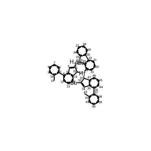 CCCCC1=Cc2c(-c3ccccc3C)cccc2[CH]1[Hf]([c]1cccc2c1[SiH2]c1ccccc1-2)[CH]1C(CCCC)=Cc2c(-c3ccccc3C)cccc21